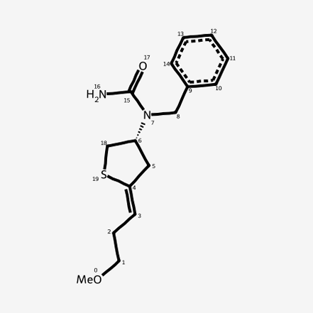 COCC/C=C1/C[C@@H](N(Cc2ccccc2)C(N)=O)CS1